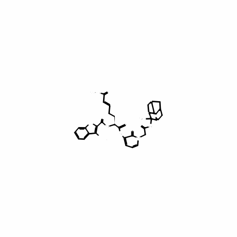 COC(=O)/C=C/CC[C@H](NC(=O)c1oc2ccccc2c1C)C(=O)Nc1cccn(CC(=O)NC2(C#N)C3CC4CC(C3)CC2C4)c1=O